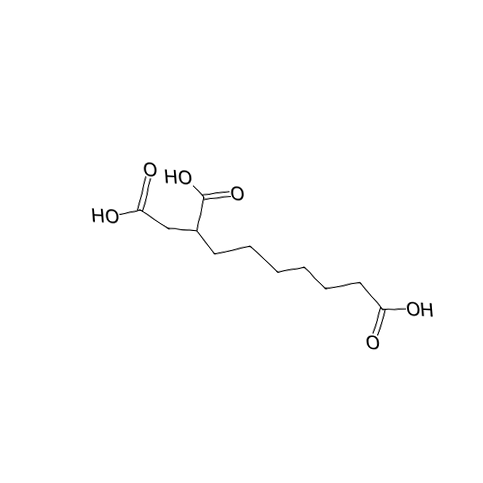 O=C(O)CCCCCCC(CC(=O)O)C(=O)O